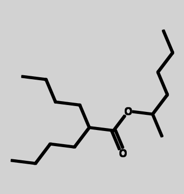 CCCCC(C)OC(=O)C(CCCC)CCCC